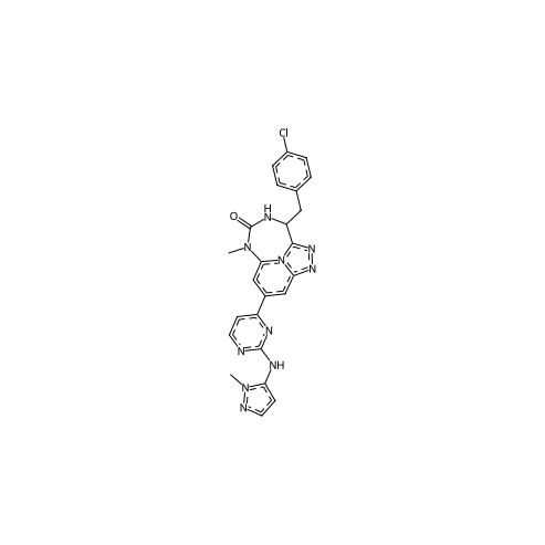 CN1C(=O)NC(Cc2ccc(Cl)cc2)c2nnc3cc(-c4ccnc(Nc5ccnn5C)n4)cc1n23